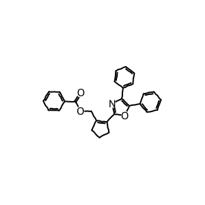 O=C(OCC1=C(c2nc(-c3ccccc3)c(-c3ccccc3)o2)CCC1)c1ccccc1